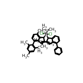 CC1=Cc2c(-c3c(C)cc(C)cc3C)ccc(C)c2[CH]1[Zr]([Cl])([Cl])([CH]1C(C(C)C)=Cc2c(-c3ccccc3)cccc21)[SiH](C)C